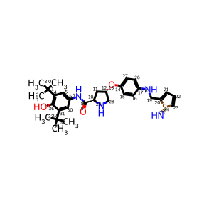 CC(C)(C)c1cc(NC(=O)[C@H]2C[C@H](Oc3ccc(NCC4=CC=CS4=N)cc3)CN2)cc(C(C)(C)C)c1O